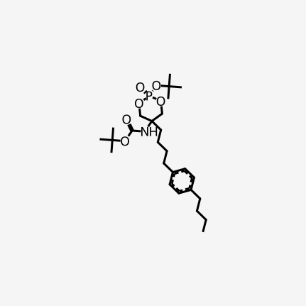 CCCCc1ccc(CCCCC2(NC(=O)OC(C)(C)C)COP(=O)(OC(C)(C)C)OC2)cc1